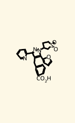 O=C(O)c1cccc(Cc2c(-c3ccccn3)nn(C3CCS(=O)(=O)C3)c2-c2ccco2)c1